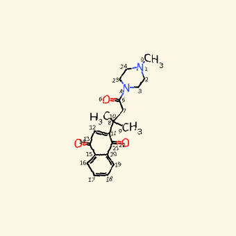 CN1CCN(C(=O)CC(C)(C)C2=CC(=O)c3ccccc3C2=O)CC1